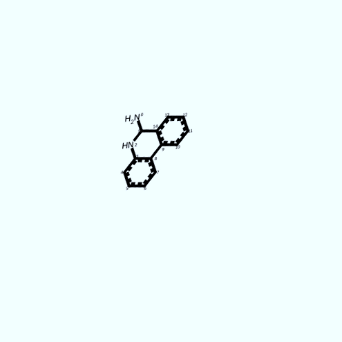 NC1Nc2ccccc2-c2ccccc21